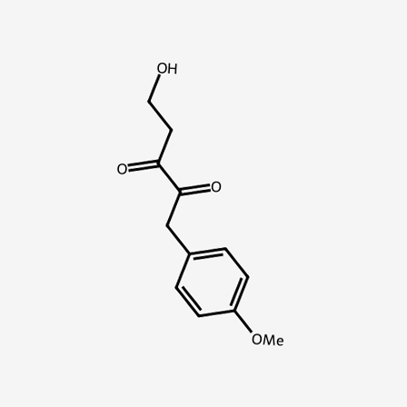 COc1ccc(CC(=O)C(=O)CCO)cc1